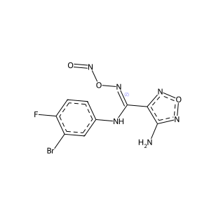 Nc1nonc1/C(=N/ON=O)Nc1ccc(F)c(Br)c1